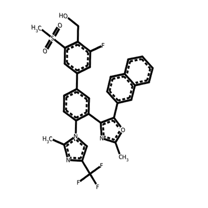 Cc1nc(-c2cc(-c3cc(F)c(CO)c(S(C)(=O)=O)c3)ccc2-n2cc(C(F)(F)F)nc2C)c(-c2ccc3ccccc3c2)o1